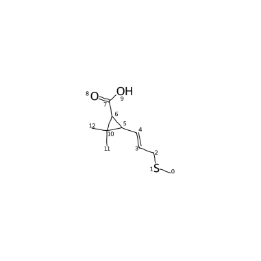 CSCC=CC1C(C(=O)O)C1(C)C